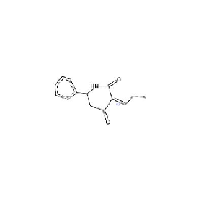 CC/C=C1/C(=O)CC(c2ccccc2)NC1=O